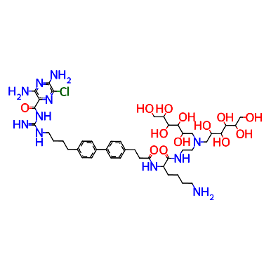 N=C(NCCCCc1ccc(-c2ccc(CCC(=O)NC(CCCCN)C(=O)NCCN(CC(O)C(O)C(O)C(O)CO)CC(O)C(O)C(O)C(O)CO)cc2)cc1)NC(=O)c1nc(Cl)c(N)nc1N